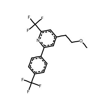 COCCc1cc(-c2ccc(C(F)(F)F)cc2)nc(C(F)(F)F)c1